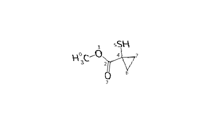 COC(=O)C1(S)CC1